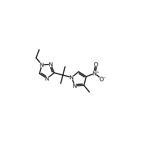 CCn1cnc(C(C)(C)n2cc([N+](=O)[O-])c(C)n2)n1